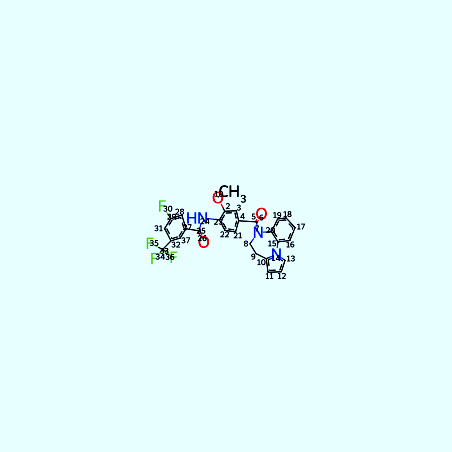 COc1cc(C(=O)N2CCc3cccn3-c3ccccc32)ccc1NC(=O)c1cc(F)cc(C(F)(F)F)c1